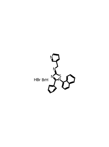 Br.Br.c1ccc(-c2n/c(=N/Cc3cccnc3)sn2-c2cccc3ccccc23)cc1